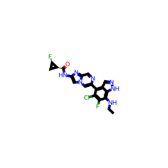 CCNc1c(F)c(Cl)c(-c2cn3cc(NC(=O)[C@@H]4C[C@@H]4F)nc3cn2)c2cn[nH]c12